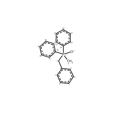 CP(Cl)(Cc1ccccc1)(c1ccccc1)c1ccccc1